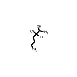 CCCCC(N)(O)C(N)O